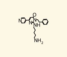 NCCCCCNc1nc(-c2ccncc2)cc(=O)n1CCc1ccccc1